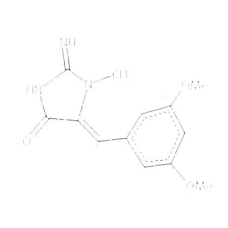 COc1cc(/C=C2/C(=O)NC(=N)N2C)cc(OC)c1